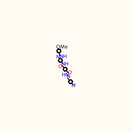 COc1ccc(-c2nc3ccc(NC(=O)c4ccc(C(=O)NN=Cc5ccc(N(C)C)cc5)cc4)cc3[nH]2)cc1